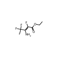 CCOC(=O)/C(F)=C(\N)C(F)(F)F